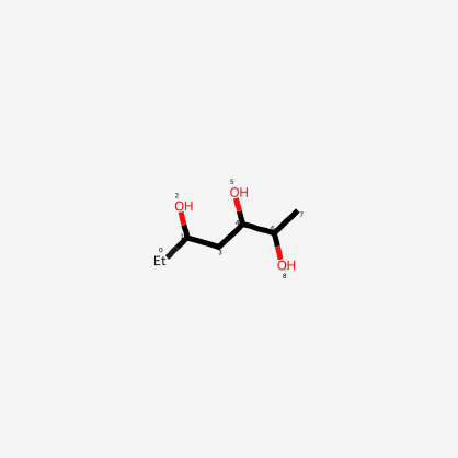 CCC(O)CC(O)C(C)O